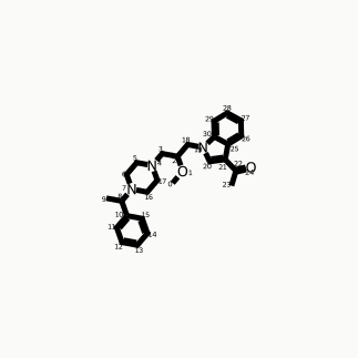 COC(CN1CCN(C(C)c2ccccc2)CC1)Cn1cc(C(C)=O)c2ccccc21